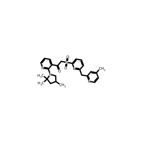 Cc1ccnc(Cc2cccc(S(=O)(=O)CC(=O)c3cccnc3N3CC(C)CC3(C)C)n2)c1